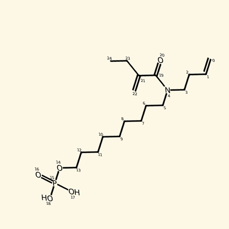 C=CCCN(CCCCCCCCCOP(=O)(O)O)C(=O)C(=C)CC